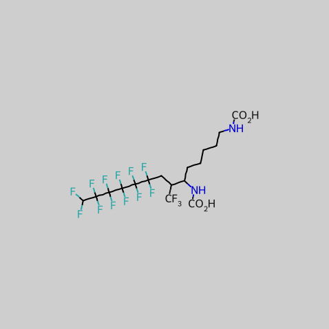 O=C(O)NCCCCCC(NC(=O)O)C(CC(F)(F)C(F)(F)C(F)(F)C(F)(F)C(F)(F)C(F)F)C(F)(F)F